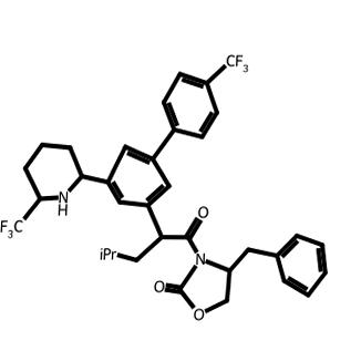 CC(C)CC(C(=O)N1C(=O)OCC1Cc1ccccc1)c1cc(-c2ccc(C(F)(F)F)cc2)cc(C2CCCC(C(F)(F)F)N2)c1